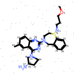 COCCCN=S1CCN(c2nc(N3CC[C@H](N)C3)c3cc(C)ccc3n2)Cc2ccccc21